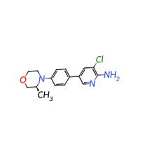 C[C@H]1COCCN1c1ccc(-c2cnc(N)c(Cl)c2)cc1